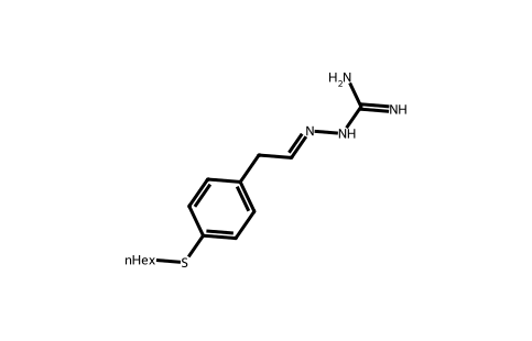 CCCCCCSc1ccc(CC=NNC(=N)N)cc1